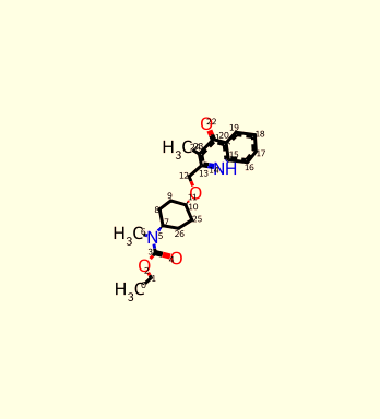 CCOC(=O)N(C)[C@H]1CC[C@H](OCc2[nH]c3ccccc3c(=O)c2C)CC1